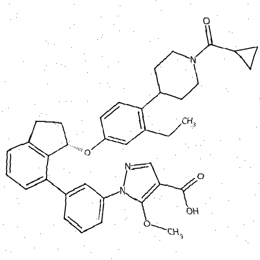 CCc1cc(O[C@H]2CCc3cccc(-c4cccc(-n5ncc(C(=O)O)c5OC)c4)c32)ccc1C1CCN(C(=O)C2CC2)CC1